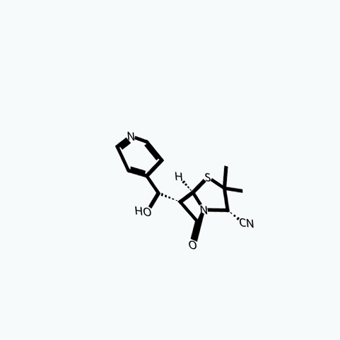 CC1(C)S[C@@H]2[C@@H](C(O)c3ccncc3)C(=O)N2[C@H]1C#N